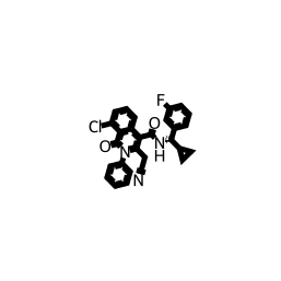 N#CCc1c(C(=O)N[C@H](c2cccc(F)c2)C2CC2)c2cccc(Cl)c2c(=O)n1-c1ccccc1